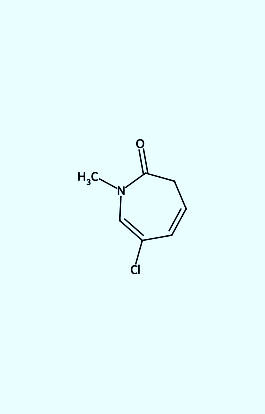 CN1C=C(Cl)C=CCC1=O